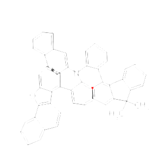 CC1(C)c2ccccc2-c2c(-c3ccccc3N(c3ccc4ccccc4c3)c3ccccc3-c3cccc4oc5c6ccccc6ccc5c34)cccc21